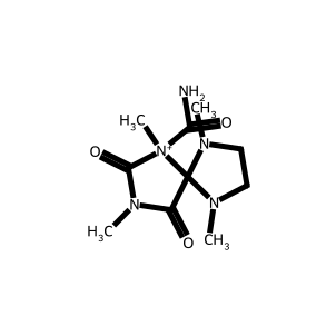 CN1C(=O)C2(N(C)CCN2C)[N+](C)(C(N)=O)C1=O